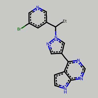 CCC(c1cncc(Br)c1)n1cc(-c2ncnc3[nH]ccc23)cn1